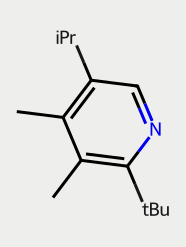 Cc1c(C(C)C)cnc(C(C)(C)C)c1C